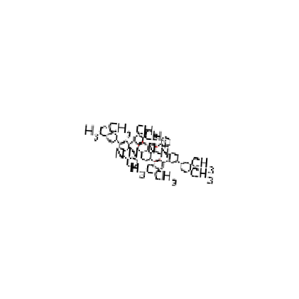 Cc1ccc(-c2ccc(N(C3=C4C=CC5=C6C(=CC=C(C=C3)C46)C(N(c3ccccc3C#N)c3ccc(-c4ccc(C)c(C)c4)cc3-c3ccc(C)c(C)c3)C=C5)c3ccccc3C#N)c(-c3ccc(C)c(C)c3)c2)cc1C